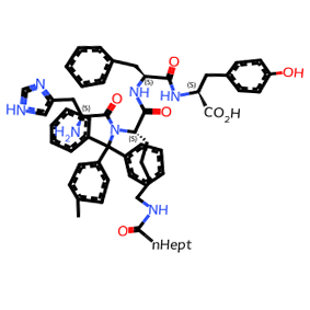 CCCCCCCC(=O)NCCCC[C@@H](C(=O)N[C@@H](Cc1ccccc1)C(=O)N[C@@H](Cc1ccc(O)cc1)C(=O)O)N(C(=O)[C@@H](N)Cc1c[nH]cn1)C(c1ccccc1)(c1ccccc1)c1ccc(C)cc1